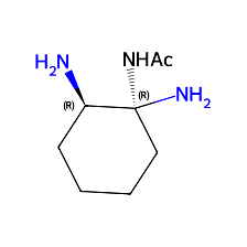 CC(=O)N[C@]1(N)CCCC[C@H]1N